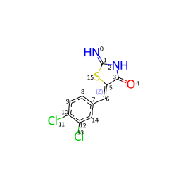 N=C1NC(=O)/C(=C/c2ccc(Cl)c(Cl)c2)S1